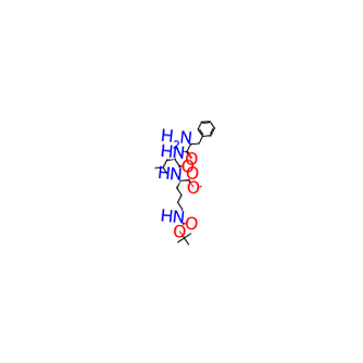 COC(=O)[C@@H](CCCCNC(=O)OC(C)(C)C)NC(=O)[C@@H](CC(C)C)NC(=O)[C@H](N)Cc1ccccc1